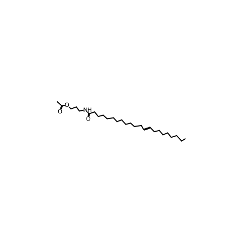 CCCCCCCCC=CCCCCCCCCCCCC(=O)NCCCOC(C)=O